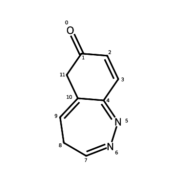 O=C1C=CC2=NN=CCC=C2C1